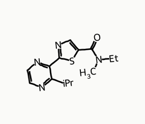 CCN(C)C(=O)c1cnc(-c2nccnc2C(C)C)s1